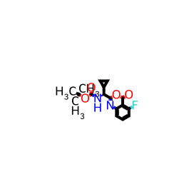 CC(C)(C)OC(=O)N[C@H](c1nc2cccc(F)c2c(=O)o1)C1CC1